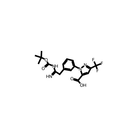 CC(C)(C)OC(=O)NC(=N)Cc1cccc(-n2nc(C(F)(F)F)cc2C(=O)O)c1